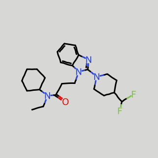 CCN(C(=O)CCn1c(N2CCC(C(F)F)CC2)nc2ccccc21)C1CCCCC1